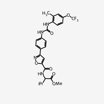 COC(=O)C(NC(=O)c1cc(-c2ccc(NC(=O)Nc3ccc(OC(F)(F)F)cc3C)cc2)no1)C(C)C